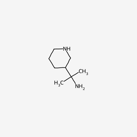 CC(C)(N)C1CCCNC1